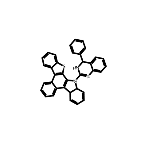 C1=CC2c3c(c4sc5ccccc5c4c4ccccc34)N(C3=Nc4ccccc4C(c4ccccc4)N3)C2C=C1